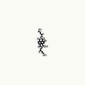 CC(C)CCCC(C)CCN1C(=O)c2ccc3c4c(cc(Br)c(c24)C1=O)C(O)N(CCC(C)CCCC(C)C)C3=O